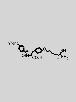 CCCCCc1ccc(S(=O)(=O)N[C@@H](Cc2ccc(OCCCONC(=N)N)cc2)C(=O)O)cc1